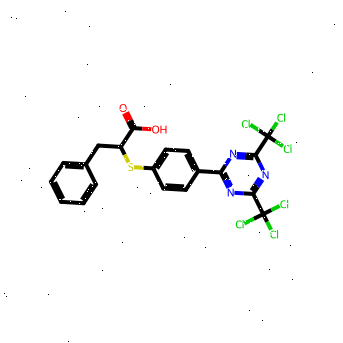 O=C(O)C(Cc1ccccc1)Sc1ccc(-c2nc(C(Cl)(Cl)Cl)nc(C(Cl)(Cl)Cl)n2)cc1